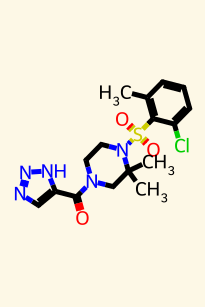 Cc1cccc(Cl)c1S(=O)(=O)N1CCN(C(=O)c2cnn[nH]2)CC1(C)C